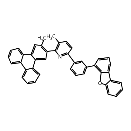 Cc1cc2c3ccccc3c3ccccc3c2cc1-c1nc(-c2cccc(-c3cccc4c3oc3ccccc34)c2)ccc1C